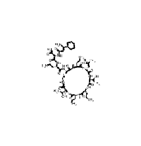 CC(C)C[C@H]1NC(=O)[C@H](CCN)NC(=O)[C@@H](NC(=O)[C@H](CCN)NC(=O)[C@@H](NC(=O)CC(N)C2CCCCC2)C(C)O)CCNC(=O)[C@H](C(C)O)NC(=O)[C@H](CCN)NC(=O)[C@H](CCN)NC(=O)[C@H](C(C)O)NC1=O